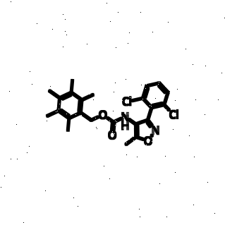 Cc1onc(-c2c(Cl)cccc2Cl)c1NC(=O)OCc1c(C)c(C)c(C)c(C)c1C